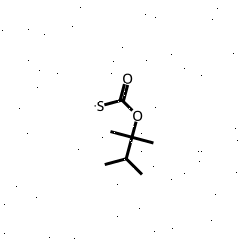 CC(C)C(C)(C)OC(=O)[S]